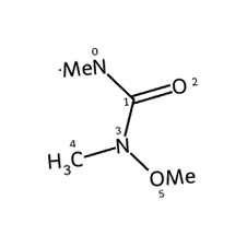 C[N]C(=O)N(C)OC